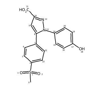 CS(=O)(=O)c1ccc(-c2cc(C(=O)O)nn2-c2ccc(O)cc2)cc1